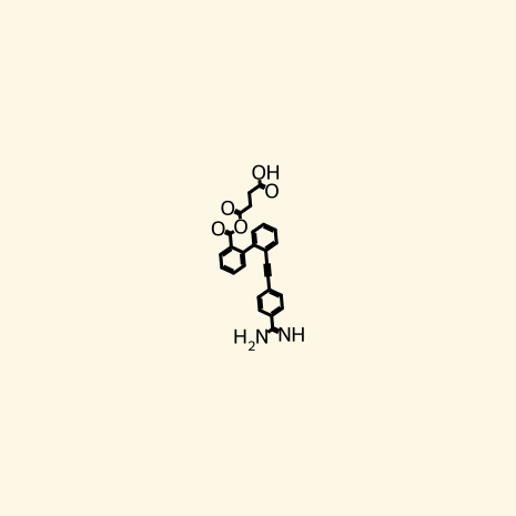 N=C(N)c1ccc(C#Cc2ccccc2-c2ccccc2C(=O)OC(=O)CCC(=O)O)cc1